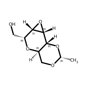 C[C@@H]1OC[C@H]2O[C@H](CO)[C@@H]3O[C@@H]3[C@@H]2O1